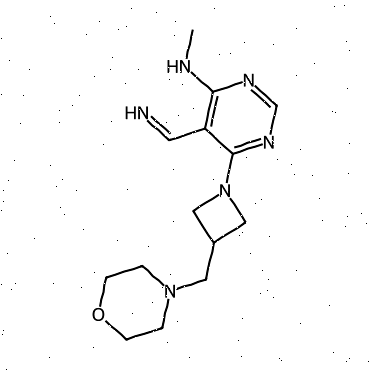 CNc1ncnc(N2CC(CN3CCOCC3)C2)c1C=N